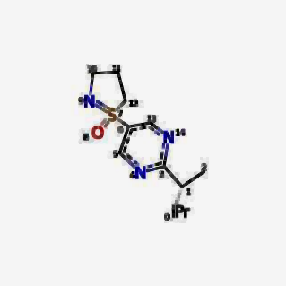 CC(C)[C@@H](C)c1ncc(S2(=O)=NCCC2)cn1